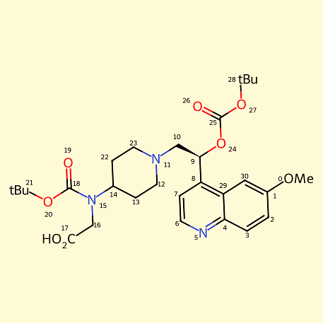 COc1ccc2nccc([C@@H](CN3CCC(N(CC(=O)O)C(=O)OC(C)(C)C)CC3)OC(=O)OC(C)(C)C)c2c1